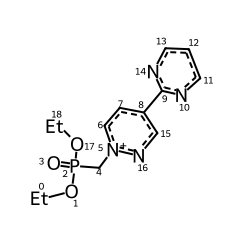 CCOP(=O)(C[n+]1ccc(-c2ncccn2)cn1)OCC